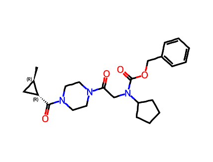 C[C@@H]1C[C@H]1C(=O)N1CCN(C(=O)CN(C(=O)OCc2ccccc2)C2CCCC2)CC1